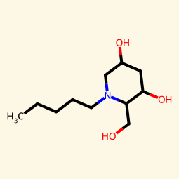 CCCCCN1CC(O)CC(O)C1CO